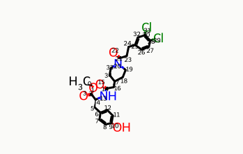 COC(=O)[C@H](Cc1ccc(O)cc1)NC(=O)CC1CCN(C(=O)CCc2ccc(Cl)c(Cl)c2)CC1